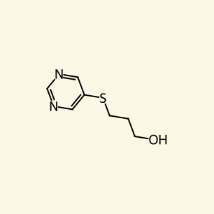 OCCCSc1cncnc1